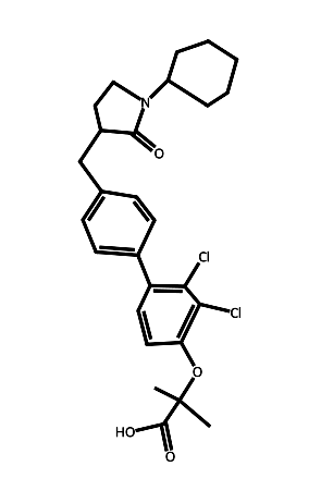 CC(C)(Oc1ccc(-c2ccc(CC3CCN(C4CCCCC4)C3=O)cc2)c(Cl)c1Cl)C(=O)O